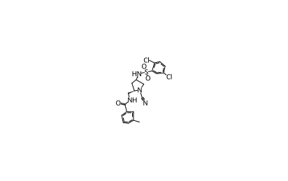 Cc1cccc(C(=O)NC[C@H]2C[C@@H](NS(=O)(=O)c3cc(Cl)ccc3Cl)CN2C#N)c1